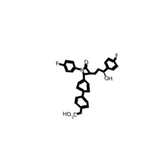 O=C(O)Cc1ccc(-c2ccc(C3C(CC[C@H](O)c4ccc(F)cc4)C(=O)N3c3ccc(F)cc3)cc2)cc1